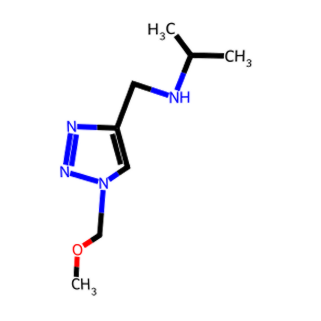 COCn1cc(CNC(C)C)nn1